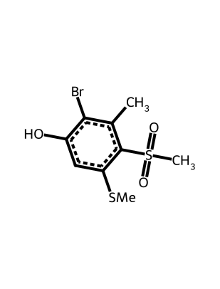 CSc1cc(O)c(Br)c(C)c1S(C)(=O)=O